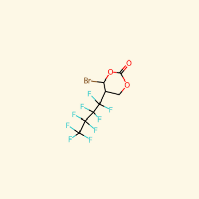 O=C1OCC(C(F)(F)C(F)(F)C(F)(F)C(F)(F)F)C(Br)O1